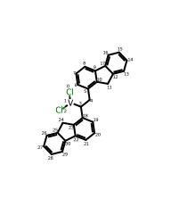 [Cl][V]([Cl])[CH](Cc1cccc2c1Cc1ccccc1-2)c1cccc2c1Cc1ccccc1-2